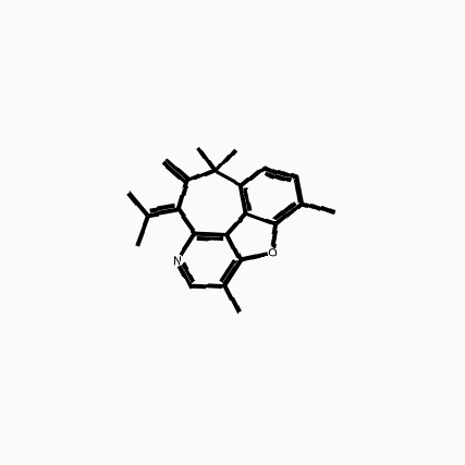 C=C1C(=C(C)C)c2ncc(C)c3oc4c(C)ccc(c4c23)C1(C)C